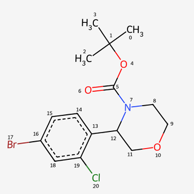 CC(C)(C)OC(=O)N1CCOCC1c1ccc(Br)cc1Cl